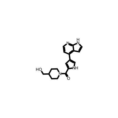 O=C(c1cc(-c2ccnc3[nH]ccc23)c[nH]1)N1CCC(CO)CC1